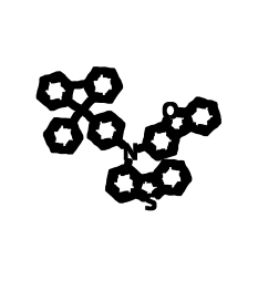 c1ccc(C2(c3ccc(N(c4ccc5c(c4)oc4ccccc45)c4cccc5sc6ccccc6c45)cc3)c3ccccc3-c3ccccc32)cc1